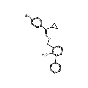 Cc1c(CON=C(c2ccc(C(C)(C)C)cc2)C2CC2)cccc1-c1ccccc1